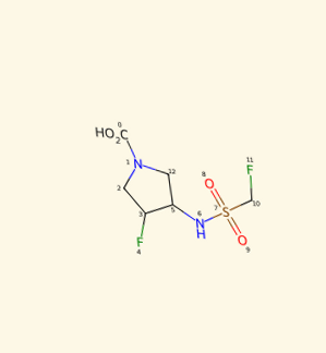 O=C(O)N1CC(F)C(NS(=O)(=O)CF)C1